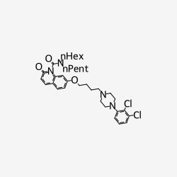 CCCCCCN(CCCCC)C(=O)n1c(=O)ccc2ccc(OCCCCN3CCN(c4cccc(Cl)c4Cl)CC3)cc21